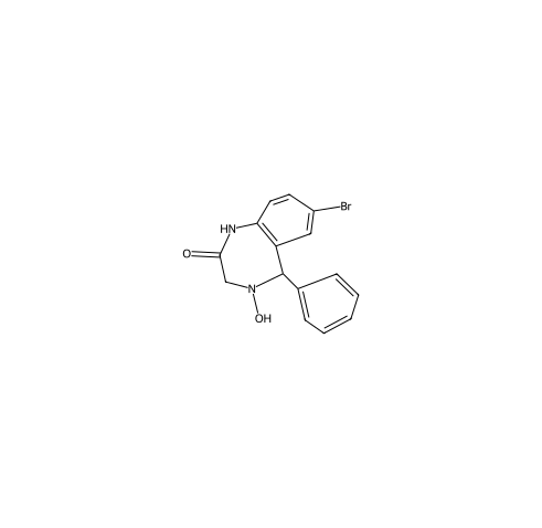 O=C1CN(O)C(c2ccccc2)c2cc(Br)ccc2N1